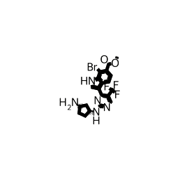 COC(=O)c1ccc2c(-c3nc(N[C@H]4CC[C@H](N)C4)ncc3C(F)(F)F)c[nH]c2c1Br